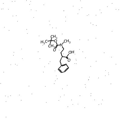 CN(CCC(Cc1ccccc1)C(=O)O)C(=O)OC(C)(C)C